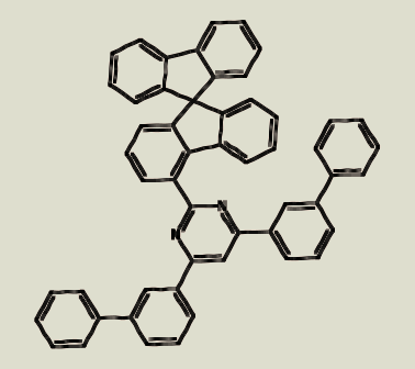 c1ccc(-c2cccc(-c3cc(-c4cccc(-c5ccccc5)c4)nc(-c4cccc5c4-c4ccccc4C54c5ccccc5-c5ccccc54)n3)c2)cc1